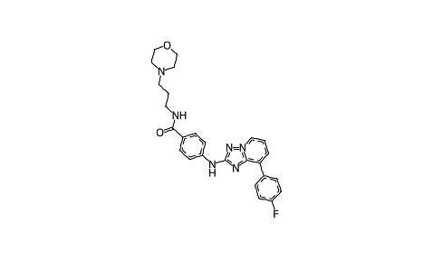 O=C(NCCCN1CCOCC1)c1ccc(Nc2nc3c(-c4ccc(F)cc4)cccn3n2)cc1